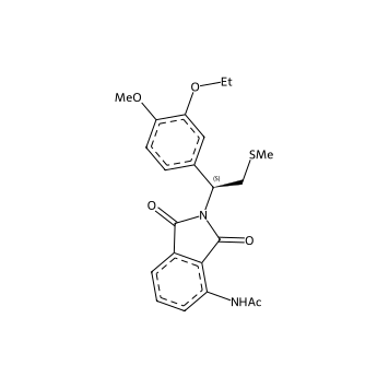 CCOc1cc([C@@H](CSC)N2C(=O)c3cccc(NC(C)=O)c3C2=O)ccc1OC